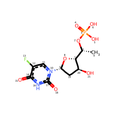 C[C@@H](OP(=O)(O)O)[C@H]1O[C@@H](n2cc(F)c(=O)[nH]c2=O)C[C@@H]1O